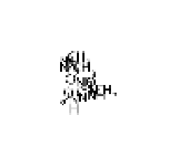 CCc1c(Nc2cc(NC(=O)C3CC3)nc3[nH]n(C)c(=O)c23)cccc1-c1nnn(C)n1